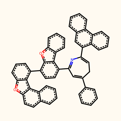 C1=C(c2ccccc2)CC=C(c2cc3ccccc3c3ccccc23)N=C1c1ccc(-c2cccc3oc4ccc5ccccc5c4c23)c2oc3ccccc3c12